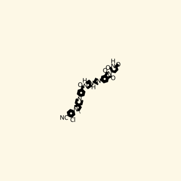 C[C@H]1CC2(CCN(c3ccc(C(=O)N4C[C@@H]5C[C@H]4CN5C4CN(c5ccc6c(c5)C(=O)N(C5CCC(=O)NC5=O)C6=O)C4)cc3)CC2)CN1c1ccc(C#N)c(Cl)c1